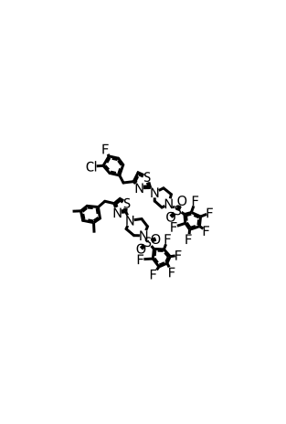 Cc1cc(C)cc(Cc2csc(N3CCN(S(=O)(=O)c4c(F)c(F)c(F)c(F)c4F)CC3)n2)c1.O=S(=O)(c1c(F)c(F)c(F)c(F)c1F)N1CCN(c2nc(Cc3ccc(F)c(Cl)c3)cs2)CC1